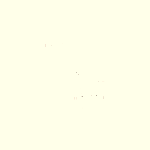 O=C(O)CCCCNC[C@H]1O[C@@](O)(CO)[C@H](O)[C@H]1O